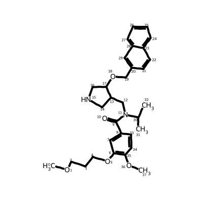 COCCCOc1cc(C(=O)N(CC2CNCC2OCc2ccc3ccccc3c2)C(C)C)ccc1OC